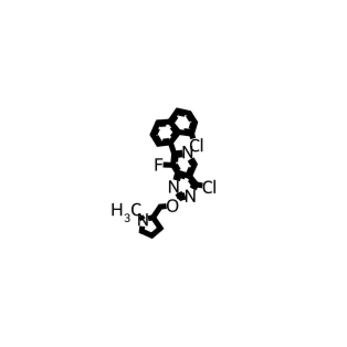 CN1CCCC1COc1nc(Cl)c2cnc(-c3cccc4cccc(Cl)c34)c(F)c2n1